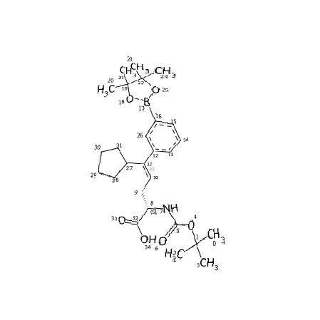 CC(C)(C)OC(=O)N[C@@H](C/C=C(/c1cccc(B2OC(C)(C)C(C)(C)O2)c1)C1CCCC1)C(=O)O